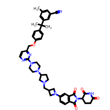 Cc1cc(C#N)cc(C(C)(C)c2ccc(OCc3ccnc(N4CCN(C5CCN(CC6CN(c7ccc8c(c7)C(=O)N(C7CCC(=O)NC7=O)C8=O)C6)C5)CC4)n3)cc2)c1